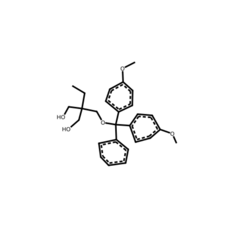 CCC(CO)(CO)COC(c1ccccc1)(c1ccc(OC)cc1)c1ccc(OC)cc1